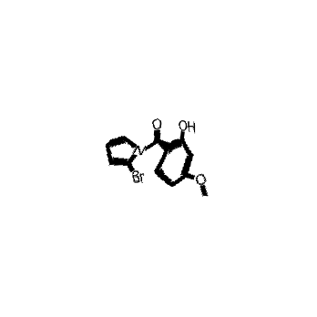 COc1ccc(C(=O)n2cccc2Br)c(O)c1